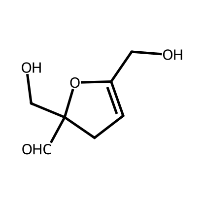 O=CC1(CO)CC=C(CO)O1